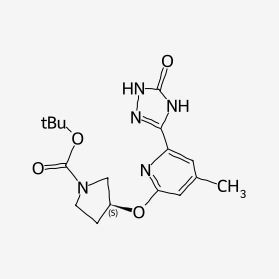 Cc1cc(O[C@H]2CCN(C(=O)OC(C)(C)C)C2)nc(-c2n[nH]c(=O)[nH]2)c1